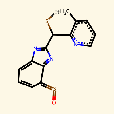 CCSC(C1=NC2=CC=CC(=S=O)C2=N1)c1ncccc1C